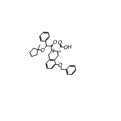 CC1(OC(C(=O)N2Cc3cccc(OCc4ccccc4)c3C[C@H]2C(=O)O)c2ccccc2)CCCC1